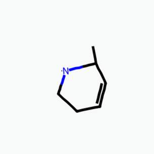 CC1C=CCC[N]1